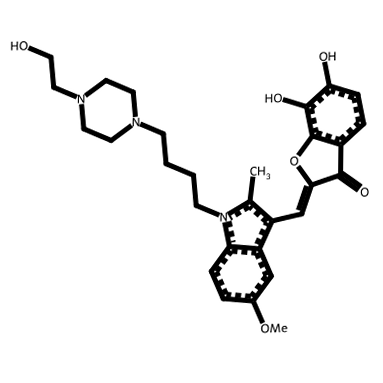 COc1ccc2c(c1)c(/C=C1\Oc3c(ccc(O)c3O)C1=O)c(C)n2CCCCN1CCN(CCO)CC1